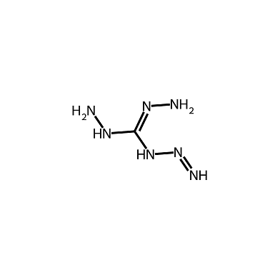 N=NNC(=NN)NN